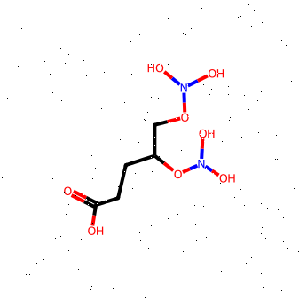 O=C(O)CCC(CON(O)O)ON(O)O